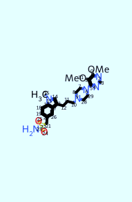 COc1ncnc(N2CCN(CCCc3cn(C)c4ccc(CS(N)(=O)=O)cc34)CC2)c1OC